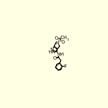 CS(=O)(=O)N1Cc2n[nH]c(NC(=O)Cc3ccccc3F)c2C1